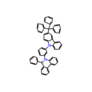 c1ccc(B2c3ccccc3-c3ccccc3N2c2cccc(-n3c4ccccc4c4cc(C(c5ccccc5)(c5ccccc5)c5ccccc5)ccc43)c2)cc1